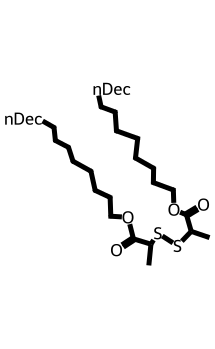 CCCCCCCCCCCCCCCCCCOC(=O)C(C)SSC(C)C(=O)OCCCCCCCCCCCCCCCCCC